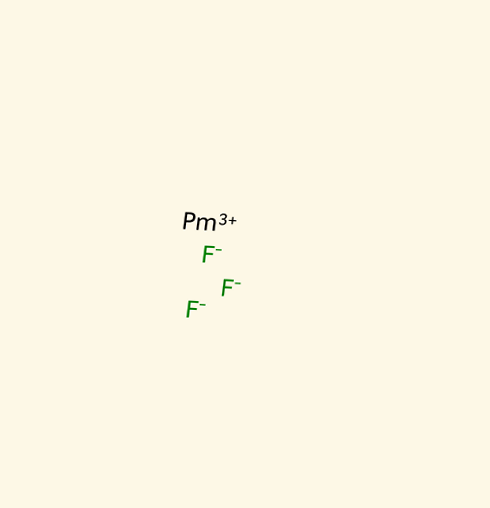 [F-].[F-].[F-].[Pm+3]